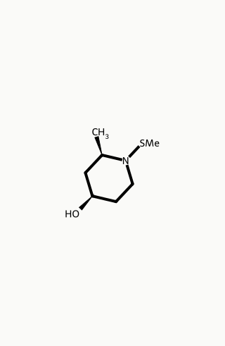 CSN1CC[C@@H](O)C[C@H]1C